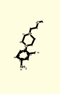 COCCN1CCN(c2ccc(N)cc2F)CC1